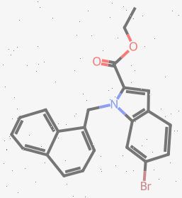 CCOC(=O)c1cc2ccc(Br)cc2n1Cc1cccc2ccccc12